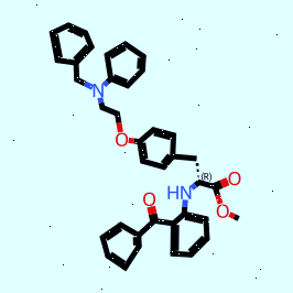 COC(=O)[C@@H](Cc1ccc(OCCN(Cc2ccccc2)c2ccccc2)cc1)Nc1ccccc1C(=O)c1ccccc1